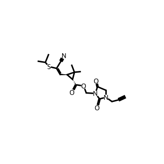 C#CCN1CC(=O)N(COC(=O)[C@@H]2[C@@H](/C=C(\C#N)SC(C)C)C2(C)C)C1=O